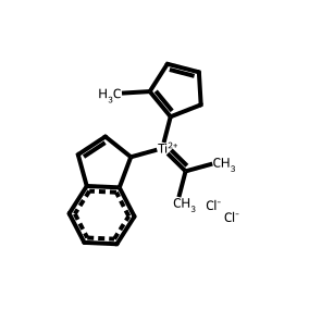 CC1=[C]([Ti+2](=[C](C)C)[CH]2C=Cc3ccccc32)CC=C1.[Cl-].[Cl-]